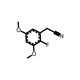 COc1cc(CC#N)c(F)c(OC)c1